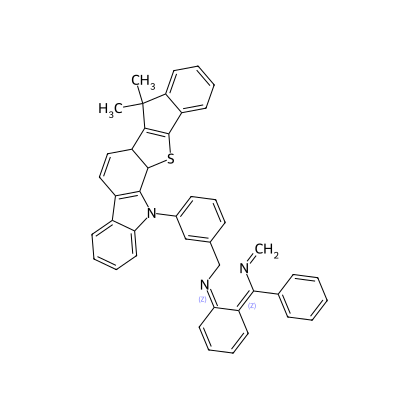 C=N/C(=C1/C=CC=C/C1=N/Cc1cccc(-n2c3c(c4ccccc42)C=CC2C4=C(SC32)c2ccccc2C4(C)C)c1)c1ccccc1